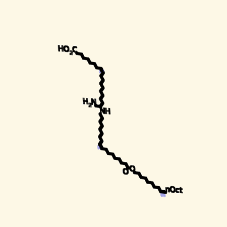 CCCCCCCC/C=C\CCCCCCCCOC(=O)CCCCCCC/C=C\CCCCCCCCNC(CN)CCCCCCCC/C=C\CCCCCCCC(=O)O